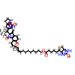 CC1(C/C=C\CCCCCCCCOC(=O)CCCCC2SCC3NC(=O)NC32)C=Cc2c(ccc3c2[N+]([O-])=C2C3=C[C@@]34NC(=O)[C@]5(CCCN5C3=O)CC4C2(C)C)O1